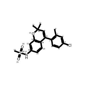 Cc1cc(Cl)ccc1C1=CC(C)(C)Oc2cc(NS(C)(=O)=O)ccc21